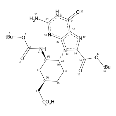 CC(C)(C)OC(=O)N[C@@H]1C[C@H](CC(=O)O)CC[C@H]1n1c(C(=O)OC(C)(C)C)nc2c(=O)[nH]c(N)nc21